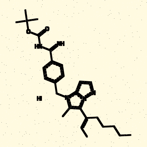 CC=C(CCCCC)c1c(C)n(Cc2ccc(C(=N)NC(=O)OC(C)(C)C)cc2)c2ccnn12.I